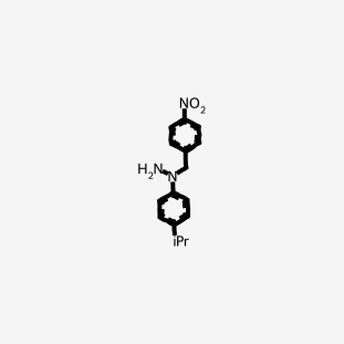 CC(C)c1ccc(N(N)Cc2ccc([N+](=O)[O-])cc2)cc1